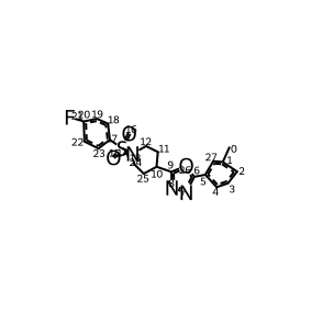 Cc1cccc(-c2nnc(C3CCN(S(=O)(=O)c4ccc(F)cc4)CC3)o2)c1